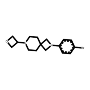 Brc1ccc(N2CC3(CCN(C4COC4)CC3)C2)cc1